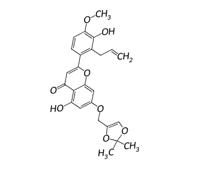 C=CCc1c(-c2cc(=O)c3c(O)cc(OCC4=COC(C)(C)O4)cc3o2)ccc(OC)c1O